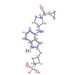 CCn1c(CC2CN(S(C)(=O)=O)C2)nc2c(NC3CCN(C(=O)C4CC4)C3)ncnc21